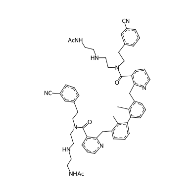 CC(=O)NCCNCCN(CCc1cccc(C#N)c1)C(=O)c1cccnc1Cc1cccc(-c2cccc(Cc3ncccc3C(=O)N(CCNCCNC(C)=O)CCc3cccc(C#N)c3)c2C)c1C